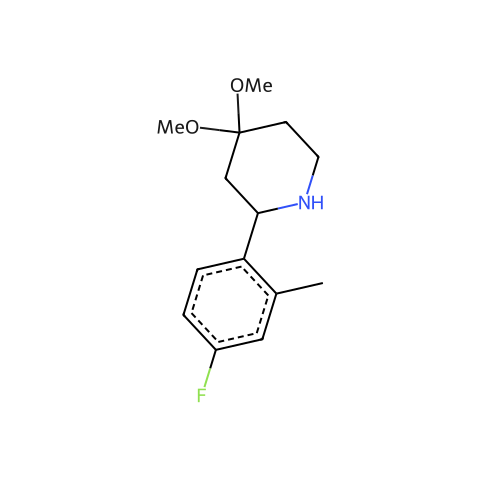 COC1(OC)CCNC(c2ccc(F)cc2C)C1